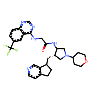 O=C(CNc1ncnc2ccc(C(F)(F)F)cc12)NC1CN(C2CCOCC2)C[C@@H]1CC1CCc2ccncc21